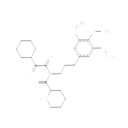 COc1cc(CCCN(C(=O)C(=O)C2CCCCC2)C(=O)C2CCCCN2)cc(OC)c1OC